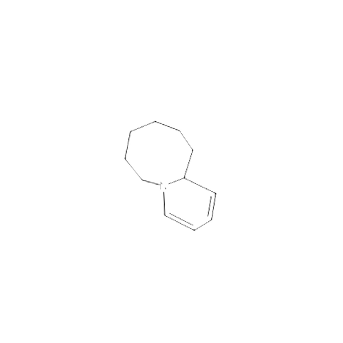 C1=CC2CCCCCCN2C=C1